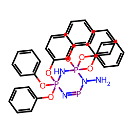 NN1P=NP(Oc2ccccc2)(Oc2ccccc2)(Oc2ccccc2)NP1(Oc1ccccc1)(Oc1ccccc1)Oc1ccccc1